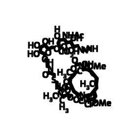 COc1cc2cc(c1Cl)N(C)C(=O)CC(OC(=O)C(C)N(C)C(=O)CCSCC(=O)NCCOC1OC(COC3(C(=O)O)CC(O)C(NC(C)=O)C(C(O)C(O)CN=[N+]=N)O3)C(O)C(O)C1O)C1(C)OC1C(C)C1CC(O)(NC(=O)O1)C(OC)/C=C/C=C(\C)C2